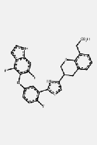 CCOC(=O)Cc1cccc2c1OCC(c1cnc(-c3cc(Oc4c(F)cc5[nH]ccc5c4F)ccc3F)[nH]1)C2